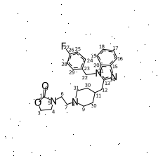 O=C1OCCN1CCN1CCC(Cc2nc3ccccc3n2Cc2ccc(F)cc2)CC1